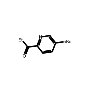 CCCCc1ccc(C(=O)CC)nc1